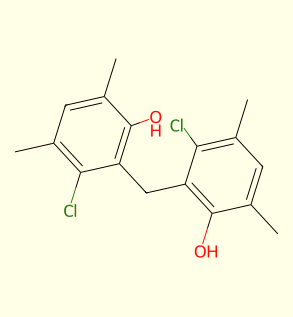 Cc1cc(C)c(Cl)c(Cc2c(O)c(C)cc(C)c2Cl)c1O